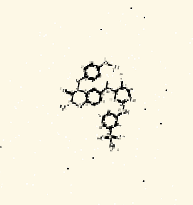 COc1ccc(CN2C(=O)[C@@H](C)Oc3ccc(Nc4nc(Nc5cccc(S(N)(=O)=O)c5)ncc4F)cc32)cc1